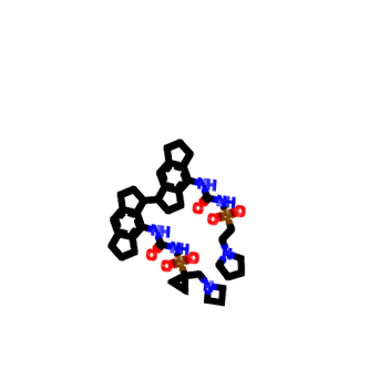 O=C(Nc1c2c(cc3c1CCC3C1CCc3cc4c(c(NC(=O)NS(=O)(=O)C5(CN6CCC6)CC5)c31)CCC4)CCC2)NS(=O)(=O)CCN1CCCC1